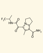 Cc1c(C(N)=O)c2n(c1C(=O)C(=O)NC(C)C(F)(F)F)CCC2